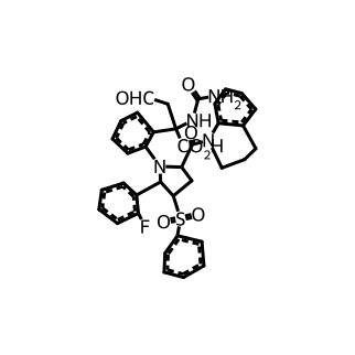 NC(=O)NC(CC=O)(C(=O)O)c1ccccc1N1C(C(=O)N2CCCc3ccccc32)CC(S(=O)(=O)c2ccccc2)C1c1ccccc1F